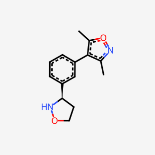 Cc1noc(C)c1-c1cccc([C@H]2CCON2)c1